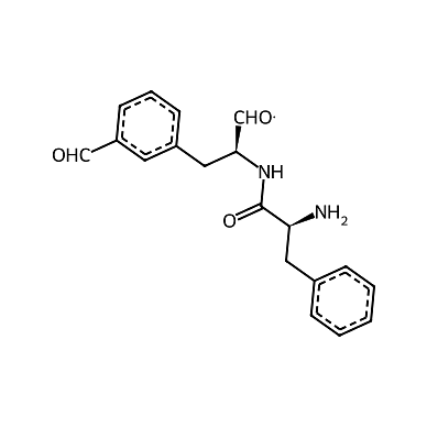 N[C@@H](Cc1ccccc1)C(=O)N[C@H]([C]=O)Cc1cccc(C=O)c1